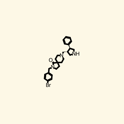 O=C1N(Cc2ccc(Br)cc2)CCC12CCN(C[C@H]1CNC[C@@H]1c1ccccc1)CC2